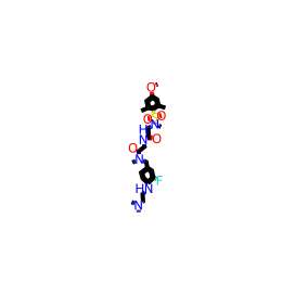 COc1cc(C)c(S(=O)(=O)N(C)CC(=O)NCC(=O)N(C)Cc2ccc(NCCN(C)C)c(F)c2)c(C)c1